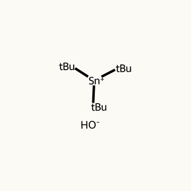 C[C](C)(C)[Sn+]([C](C)(C)C)[C](C)(C)C.[OH-]